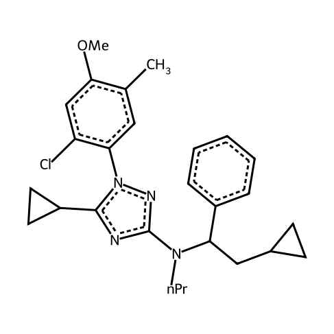 CCCN(c1nc(C2CC2)n(-c2cc(C)c(OC)cc2Cl)n1)C(CC1CC1)c1ccccc1